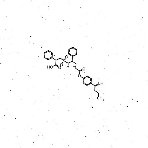 CCCC(=N)c1ccc(OC(=O)CCC(NS(=O)(=O)CC(C(=O)O)c2ccccc2)c2ccccc2)cc1